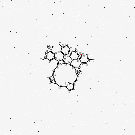 Cc1cc(C2=Cc3cc4ccc(cc5nc(cc6[nH]c(c(-c7ccnc(C)c7)c2n3)c(-c2ccnc(C)c2)c6-c2ccnc(C)c2)C=C5)[nH]4)ccn1.[Mn]